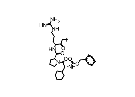 N=C(N)NCCC[C@H](NC(=O)[C@@H]1CCCN1C(=O)[C@@H](NC(=O)OCc1ccccc1)C1CCCCC1)C(=O)CF